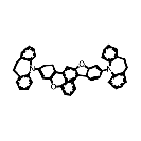 C1=CC2c3c(cc4c5c(cccc35)OC3=C4CCC(N4c5ccccc5CCc5ccccc54)=C3)OC2C=C1N1c2ccccc2CCc2ccccc21